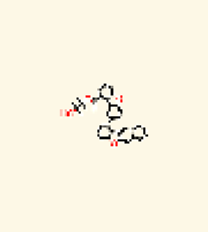 CC(C)(O)C(C)(C)OBc1cccc2oc3ccc(-c4cccc5oc6cc7ccccc7cc6c45)cc3c12